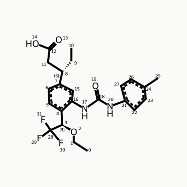 CCO[C@H](c1ccc([C@@H](CC)CC(=O)O)cc1NC(=O)Nc1ccc(C)cc1)C(F)(F)F